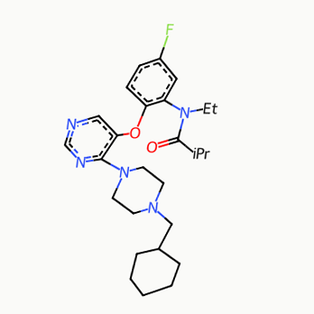 CCN(C(=O)C(C)C)c1cc(F)ccc1Oc1cncnc1N1CCN(CC2CCCCC2)CC1